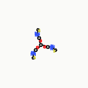 c1csc(-c2nnn(-c3ccc(OCc4cc(COc5ccc(-n6nnc(-c7cccs7)n6)cc5)cc(COc5ccc(-n6nnc(-c7cccs7)n6)cc5)c4)cc3)n2)c1